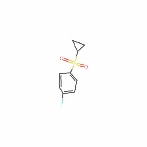 O=S(=O)(c1ccc(F)cc1)C1CC1